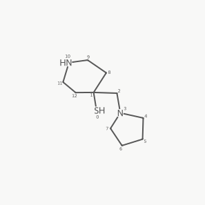 SC1(CN2CCCC2)CCNCC1